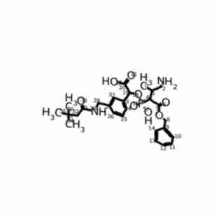 CC(CN)C(C(=O)OCc1ccccc1)P(=O)(O)OC(C(=O)O)c1cccc(CNC(=O)CC(C)(C)C)c1